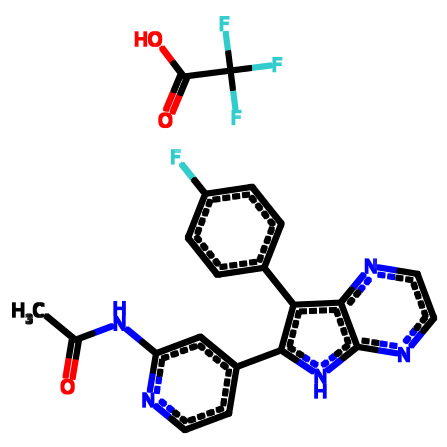 CC(=O)Nc1cc(-c2[nH]c3nccnc3c2-c2ccc(F)cc2)ccn1.O=C(O)C(F)(F)F